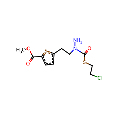 COC(=O)c1ccc(CCN(N)C(=O)SCCCl)s1